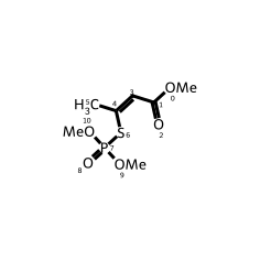 COC(=O)C=C(C)SP(=O)(OC)OC